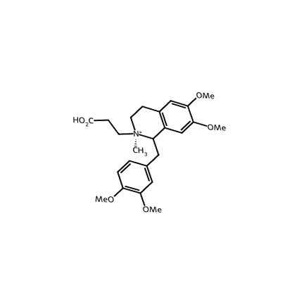 COc1ccc(CC2c3cc(OC)c(OC)cc3CC[N@+]2(C)CCC(=O)O)cc1OC